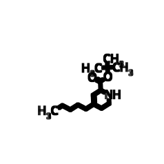 CCCCCC1=CC(C(=O)OC(C)(C)C)NCC1